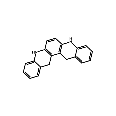 c1ccc2c(c1)Cc1c(ccc3c1Cc1ccccc1N3)N2